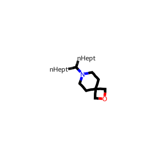 CCCCCCCC(CCCCCCC)N1CCC2(CC1)COC2